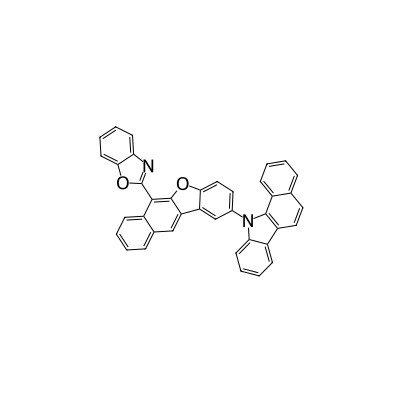 c1ccc2c(-c3nc4ccccc4o3)c3oc4ccc(-n5c6ccccc6c6ccc7ccccc7c65)cc4c3cc2c1